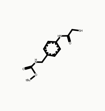 CC(C)(C)OC(=O)NCc1ccc(NC(=O)CS)cc1